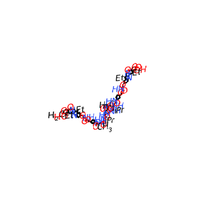 C=C1OCc2c(cc3n(c2=O)Cc2c-3nc3ccc(OCNC(=O)OCc4ccc(NC(=O)[C@H](C)NC(=O)[C@@H](NC(=O)CN(CCN5C(=O)C=CC5=O)CC(=O)N[C@H](C(=O)N[C@@H](C)C(=O)Nc5ccc(COC(=O)NCOc6ccc7nc8c(c(CC)c7c6)Cn6c-8cc7c(c6=O)COC(=O)[C@]7(O)CC)cc5)C(C)C)C(C)C)cc4)cc3c2CC)[C@@]1(O)CC